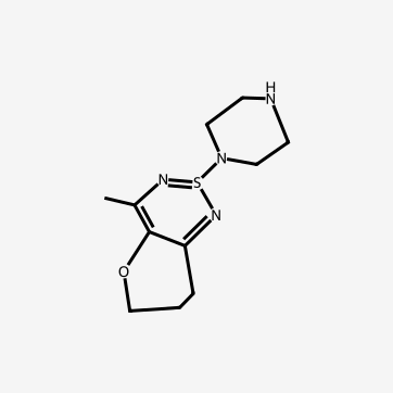 CC1=C2OCCCC2=NS(N2CCNCC2)=N1